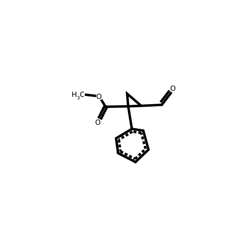 COC(=O)C1(c2ccccc2)CC1C=O